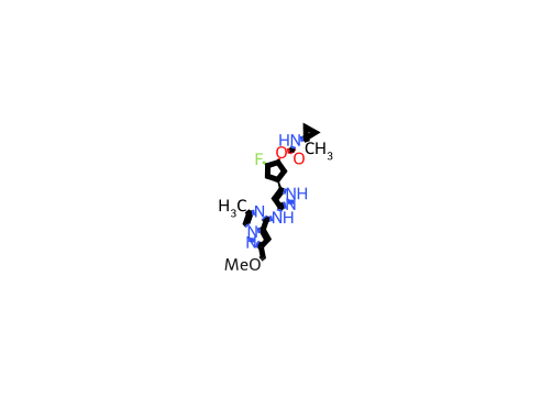 COCc1cc2c(Nc3cc([C@H]4C[C@@H](F)[C@@H](OC(=O)NC5(C)CC5)C4)[nH]n3)nc(C)cn2n1